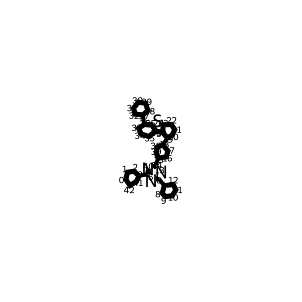 c1ccc(-c2nc(-c3ccccc3)nc(-c3ccc(-c4cccc5sc6c(-c7ccccc7)cccc6c45)cc3)n2)cc1